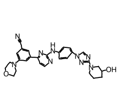 N#Cc1cc(-c2ccnc(Nc3ccc(-n4cnc(N5CCCC(O)C5)n4)cc3)n2)cc(N2CCOCC2)c1